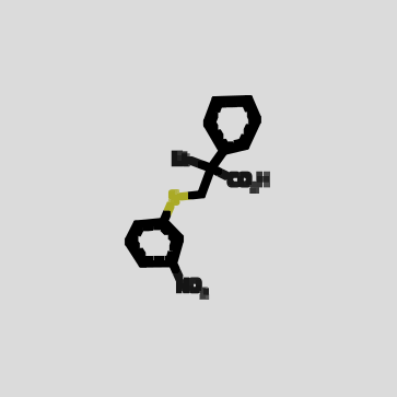 CCC(CSc1cccc([N+](=O)[O-])c1)(C(=O)O)c1ccccc1